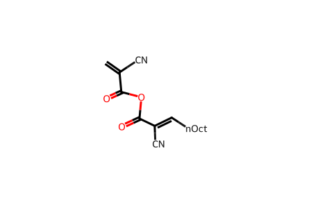 C=C(C#N)C(=O)OC(=O)C(C#N)=CCCCCCCCC